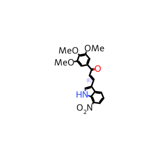 COc1cc(C(=O)/C=C/c2c[nH]c3c([N+](=O)[O-])cccc23)cc(OC)c1OC